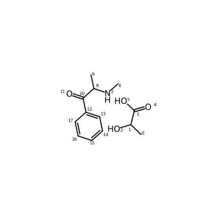 CC(O)C(=O)O.CNC(C)C(=O)c1ccccc1